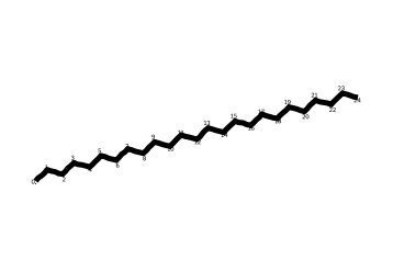 [CH2]CC[CH]CCCCCCCCCCCCCCCCCCCCC